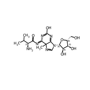 CC(C)[C@H](N)C(=O)N=C1N=C(O)N=C2N([C@@H]3O[C@H](CO)[C@@H](O)[C@H]3O)C=NC12C